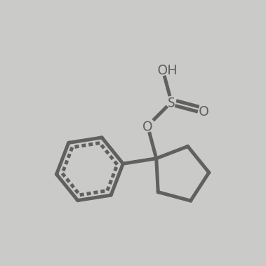 O=S(O)OC1(c2ccccc2)CCCC1